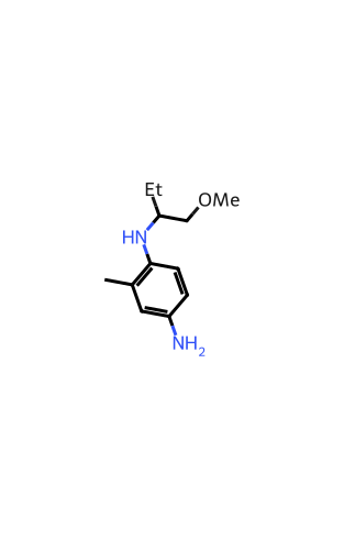 CCC(COC)Nc1ccc(N)cc1C